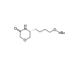 CCCCOCCCC[C@@H]1COCC(=O)N1